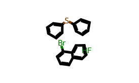 Brc1cccc2ccccc12.F.c1ccc(Sc2ccccc2)cc1